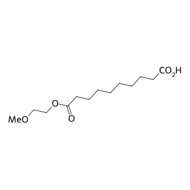 COCCOC(=O)CCCCCCCCC(=O)O